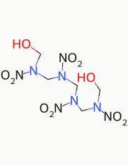 O=[N+]([O-])N(CO)CN(CN(CN(CO)[N+](=O)[O-])[N+](=O)[O-])[N+](=O)[O-]